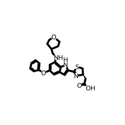 O=C(O)C[C@@H]1CSC(c2cc3cc(Oc4ccccc4)cc(NCC4CCOCC4)c3[nH]2)=N1